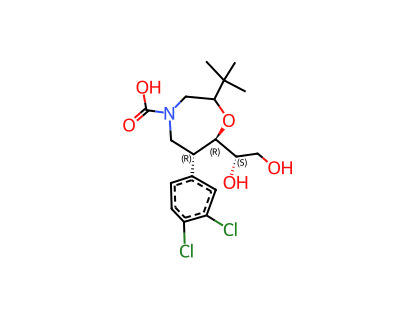 CC(C)(C)C1CN(C(=O)O)C[C@@H](c2ccc(Cl)c(Cl)c2)[C@H]([C@@H](O)CO)O1